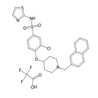 O=C(O)C(F)(F)F.O=S(=O)(Nc1nccs1)c1ccc(OC2CCN(Cc3ccc4ccccc4c3)CC2)c(Cl)c1